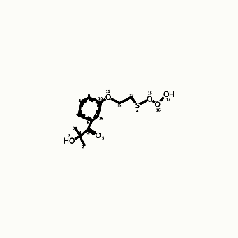 CC(C)(O)C(=O)c1cccc(OCCSOOO)c1